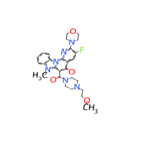 COCCN1CCN(C(=O)c2c(=O)c3cc(F)c(N4CCOCC4)nc3n3c4ccccc4n(C)c23)CC1